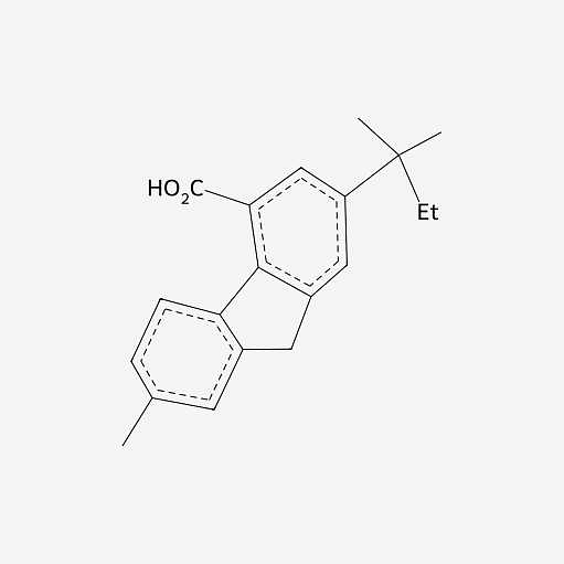 CCC(C)(C)c1cc2c(c(C(=O)O)c1)-c1ccc(C)cc1C2